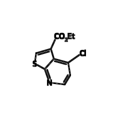 CCOC(=O)c1csc2nccc(Cl)c12